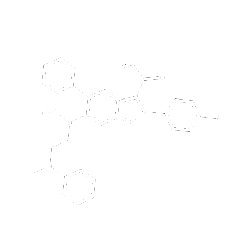 CCOC(=O)N(CCN(C)c1ccccc1)c1cc2oc(-c3ccc(F)cc3)c(C(=O)NC)c2cc1-c1ccccc1